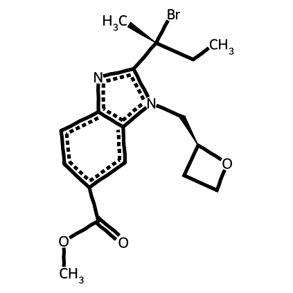 CC[C@@](C)(Br)c1nc2ccc(C(=O)OC)cc2n1C[C@@H]1CCO1